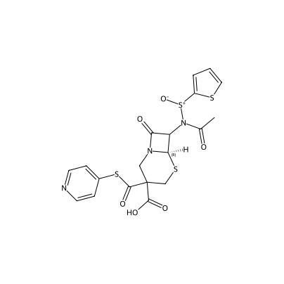 CC(=O)N(C1C(=O)N2CC(C(=O)O)(C(=O)Sc3ccncc3)CS[C@H]12)[S+]([O-])c1cccs1